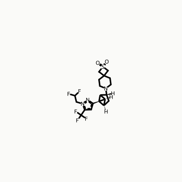 O=S1(=O)CC2(CCN([C@@H]3C[C@@H]4[C@@H]5C3[C@@]45c3cc(C(F)(F)F)n(CC(F)F)n3)CC2)C1